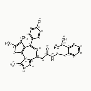 Cc1sc2c(c1C)C(c1ccc(Cl)cc1)=N[C@@H](CC(=O)NCCc1ccccc1B(O)O)c1nnc(C)n1-2